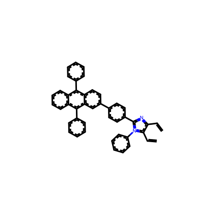 C=Cc1nc(-c2ccc(-c3ccc4c(-c5ccccc5)c5ccccc5c(-c5ccccc5)c4c3)cc2)n(-c2ccccc2)c1C=C